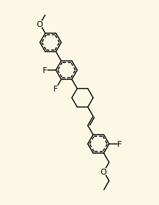 CCOCc1ccc(/C=C/C2CCC(c3ccc(-c4ccc(OC)cc4)c(F)c3F)CC2)cc1F